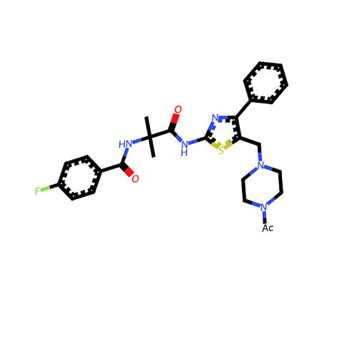 CC(=O)N1CCN(Cc2sc(NC(=O)C(C)(C)NC(=O)c3ccc(F)cc3)nc2-c2ccccc2)CC1